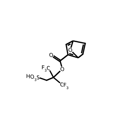 O=C(OC(CS(=O)(=O)O)(C(F)(F)F)C(F)(F)F)c1cc2ccc1o2